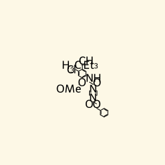 CCC(C)(C)c1cc(NCC(=O)N2CCN(C(=O)OCc3ccccc3)CC2)c(OCOC)cc1Cl